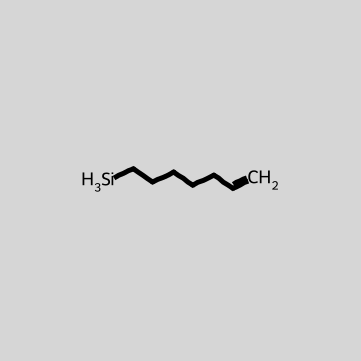 C=CCCCCC[SiH3]